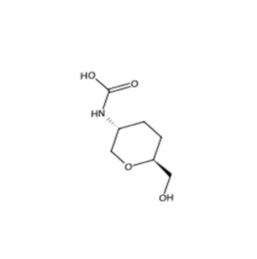 O=C(O)N[C@@H]1CC[C@@H](CO)OC1